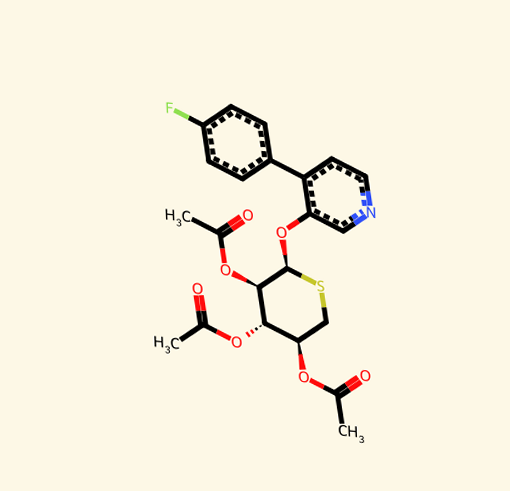 CC(=O)O[C@@H]1[C@@H](OC(C)=O)[C@@H](Oc2cnccc2-c2ccc(F)cc2)SC[C@H]1OC(C)=O